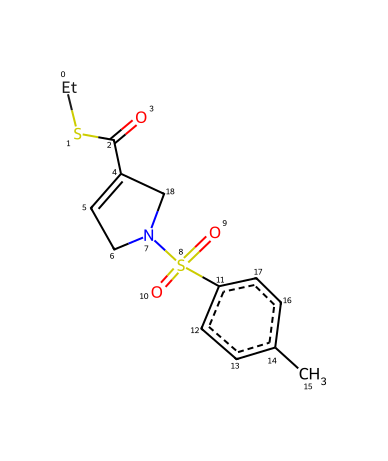 CCSC(=O)C1=CCN(S(=O)(=O)c2ccc(C)cc2)C1